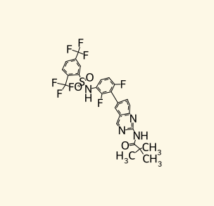 CC(C)(C)C(=O)Nc1ncc2cc(-c3c(F)ccc(NS(=O)(=O)c4cc(C(F)(F)F)ccc4C(F)(F)F)c3F)ccc2n1